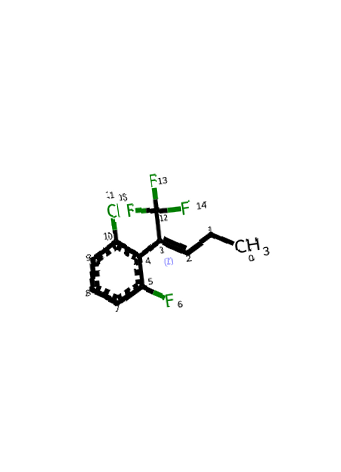 CC/C=C(/c1c(F)cccc1Cl)C(F)(F)F